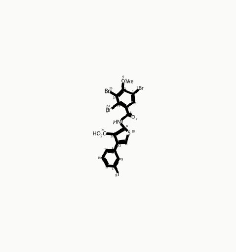 COc1c(Br)cc(C(=O)Nc2scc(-c3cccc(I)c3)c2C(=O)O)c(Br)c1Br